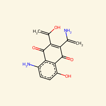 C=C(N)C1=C(C(=C)O)C(=O)c2c(N)ccc(O)c2C1=O